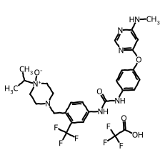 CNc1cc(Oc2ccc(NC(=O)Nc3ccc(CN4CC[N+]([O-])(C(C)C)CC4)c(C(F)(F)F)c3)cc2)ncn1.O=C(O)C(F)(F)F